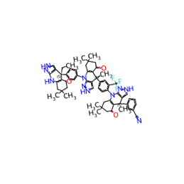 CC[C@@]1(c2ccc(N3C4=C(C(=O)CC(C)(C)C4)[C@](C)(c4ccc(N5C6=C(C(=O)CC(C)(C)C6)[C@](C)(c6cccc(C#N)c6)c6c[nH]nc65)c(C(F)(F)F)c4)c4c[nH]nc43)cc2)C2=C(CC(C)(C)CC2=O)Nc2n[nH]cc21